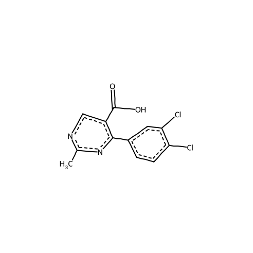 Cc1ncc(C(=O)O)c(-c2ccc(Cl)c(Cl)c2)n1